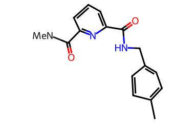 CNC(=O)c1cccc(C(=O)NCc2ccc(C)cc2)n1